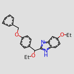 CCOc1ccc2[nH]c(C(OCC)c3ccc(OCc4ccccc4)cc3)nc2c1